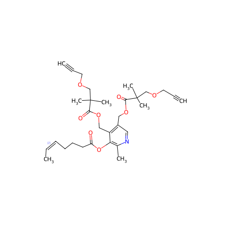 C#CCOCC(C)(C)C(=O)OCc1cnc(C)c(OC(=O)CCC/C=C\C)c1COC(=O)C(C)(C)COCC#C